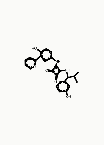 CC(C)C(Nc1c(Nc2ccc(O)c(-c3ccccn3)c2)c(=O)c1=O)c1cccc(O)c1